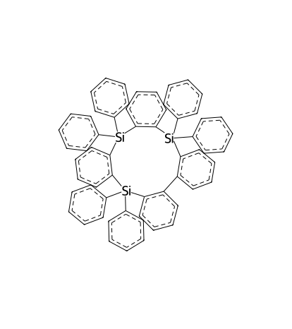 c1ccc([Si]2(c3ccccc3)c3ccccc3-c3ccccc3[Si](c3ccccc3)(c3ccccc3)c3ccccc3[Si](c3ccccc3)(c3ccccc3)c3ccccc32)cc1